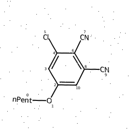 CCCCCOc1cc(Cl)c(C#N)c(C#N)c1